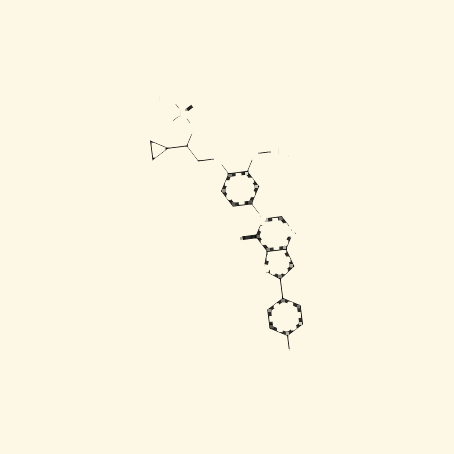 COc1cc(-n2cnc3cc(-c4ccc(Cl)cc4)sc3c2=O)ccc1OCC(OP(=O)(O)O)C1CC1